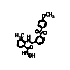 COc1ccc(S(=O)(=O)c2cc(CNc3c(C)cccc3C(=O)NO)ccn2)cc1